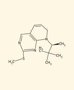 CSc1ncc2c(n1)N([C@@H](C)C(C)(C)C)CC=C2